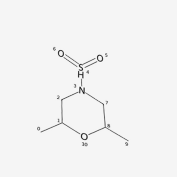 CC1CN([SH](=O)=O)CC(C)O1